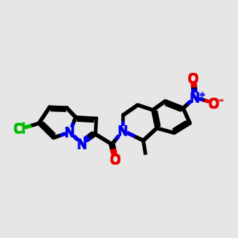 CC1c2ccc([N+](=O)[O-])cc2CCN1C(=O)c1cc2ccc(Cl)cn2n1